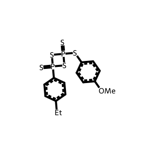 CCc1ccc(P2(=S)SP(=S)(Sc3ccc(OC)cc3)S2)cc1